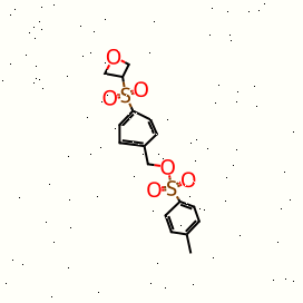 Cc1ccc(S(=O)(=O)OCc2ccc(S(=O)(=O)C3COC3)cc2)cc1